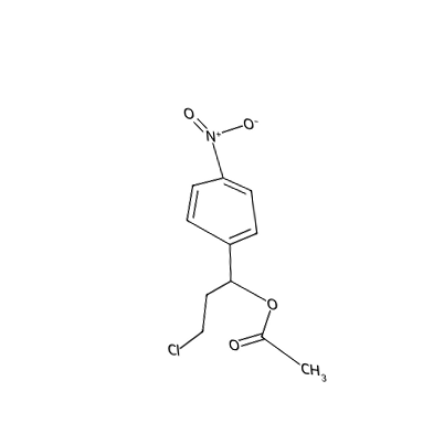 CC(=O)OC(CCCl)c1ccc([N+](=O)[O-])cc1